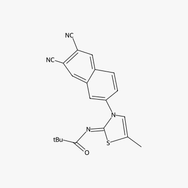 Cc1cn(-c2ccc3cc(C#N)c(C#N)cc3c2)/c(=N/C(=O)C(C)(C)C)s1